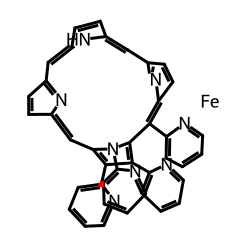 C1=Cc2cc3c(-c4ccccn4)c(-c4ccccn4)c(c(-c4ccccn4)c4nc(cc5ccc(cc1n2)[nH]5)C=C4)n3-c1ccccn1.[Fe]